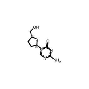 Nc1ncn([C@H]2CC[C@@H](CO)S2)c(=O)n1